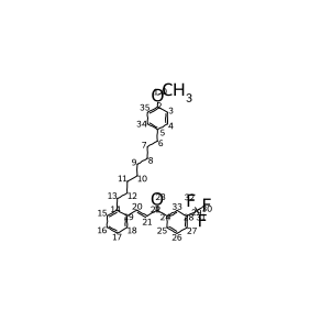 COc1ccc(CCCCCCCCc2ccccc2/C=C/C(=O)c2cccc(C(F)(F)F)c2)cc1